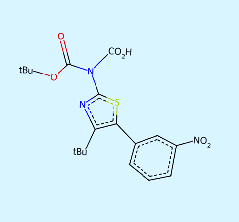 CC(C)(C)OC(=O)N(C(=O)O)c1nc(C(C)(C)C)c(-c2cccc([N+](=O)[O-])c2)s1